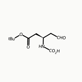 CC(C)(C)OC(=O)C[C@@H](CC=O)NC(=O)O